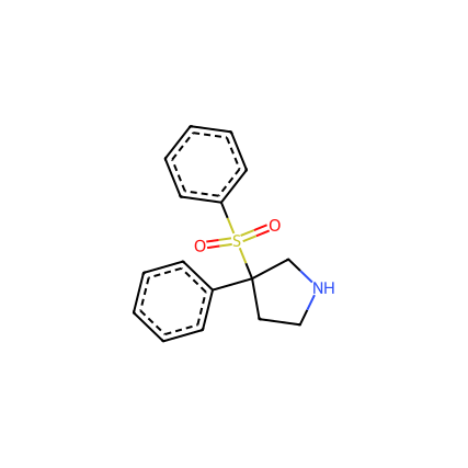 O=S(=O)(c1ccccc1)C1(c2ccccc2)CCNC1